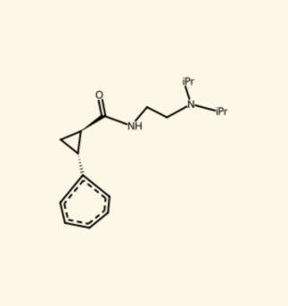 CC(C)N(CCNC(=O)[C@@H]1C[C@H]1c1ccccc1)C(C)C